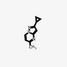 Cc1ccn2nc(C3CC3)cc2n1